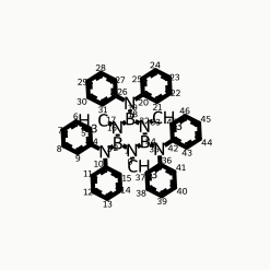 CN1B(N(c2ccccc2)c2ccccc2)N(C)B(N(c2ccccc2)c2ccccc2)N(C)B1N(c1ccccc1)c1ccccc1